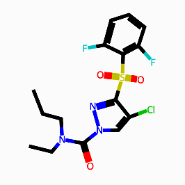 CCCN(CC)C(=O)n1cc(Cl)c(S(=O)(=O)c2c(F)cccc2F)n1